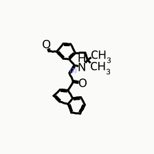 CC1(C)Cc2ccc(C=O)cc2/C(=C/C(=O)c2cccc3ccccc23)N1